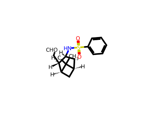 CC1(C)[C@H]2C[C@H](NS(=O)(=O)c3ccccc3)[C@@H](CC=O)[C@@H]1C2